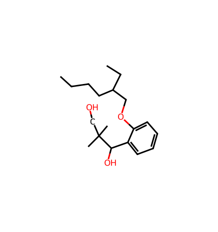 CCCCC(CC)COc1ccccc1C(O)C(C)(C)CO